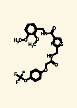 COc1cccc(CNC(=O)c2csc(CNC(=O)COc3ccc(OC(F)(F)F)cc3)n2)c1OC